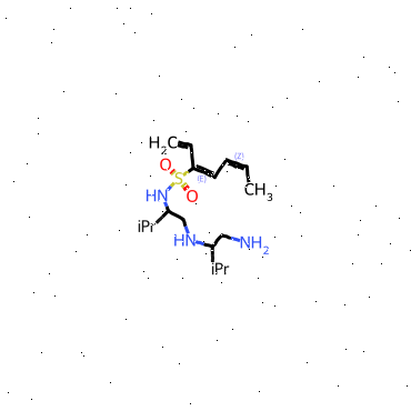 C=C/C(=C\C=C/C)S(=O)(=O)NC(CNC(CN)C(C)C)C(C)C